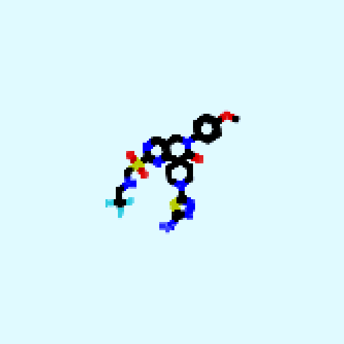 COc1ccc(N2Cc3cnc(S(=O)(=O)CNCC(F)(F)F)nc3C3(CCN(c4nnc(N)s4)CC3)C2=O)cc1